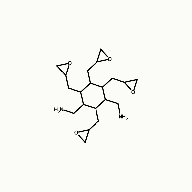 NCC1C(CC2CO2)C(CN)C(CC2CO2)C(CC2CO2)C1CC1CO1